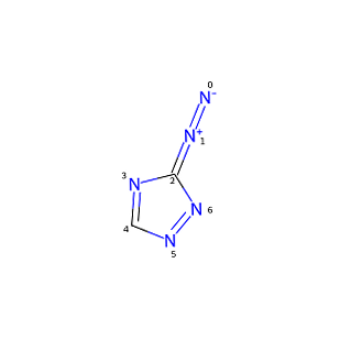 [N-]=[N+]=C1N=CN=N1